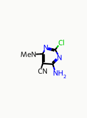 CNc1nc(Cl)nc(N)c1C#N